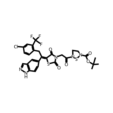 CC(C)(C)OC(=O)N1CCN(C(=O)CN2C(=O)S/C(=C(/Cc3ccc(Cl)cc3C(F)(F)F)c3ccc4[nH]ncc4c3)C2=O)S1